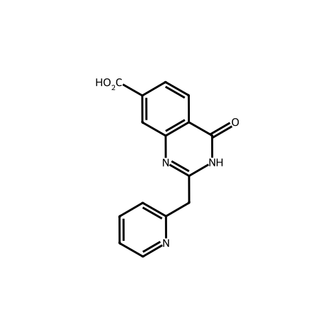 O=C(O)c1ccc2c(=O)[nH]c(Cc3ccccn3)nc2c1